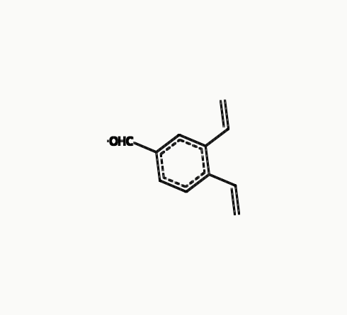 C=Cc1ccc([C]=O)cc1C=C